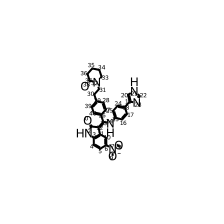 O=C1Nc2ccc([N+](=O)[O-])cc2C1=C(Nc1ccc(-c2c[nH]cn2)cc1)c1ccc(CCN2CCCCC2=O)cc1